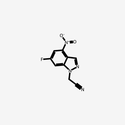 N#CCn1ncc2c([N+](=O)[O-])cc(F)cc21